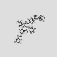 Cn1c(=O)n(-c2ccc(OCc3ccccc3)nc2OCc2ccccc2)c2ccc(C3CCN(C(=O)OC(C)(C)C)CC3F)cc21